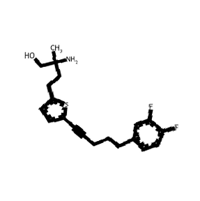 CC(N)(CO)CCc1ccc(C#CCCCc2ccc(F)c(F)c2)s1